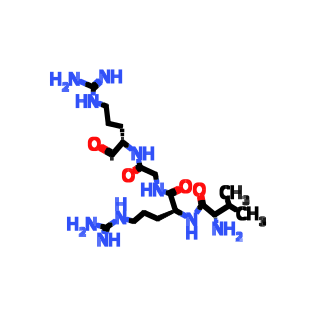 CC(C)[C@H](N)C(=O)N[C@@H](CCCNC(=N)N)C(=O)NCC(=O)N[C@H]([C]=O)CCCNC(=N)N